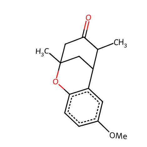 COc1ccc2c(c1)C1CC(C)(CC(=O)C1C)O2